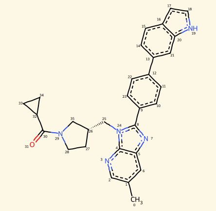 Cc1cnc2c(c1)nc(-c1ccc(-c3ccc4cc[nH]c4c3)cc1)n2C[C@@H]1CCN(C(=O)C2CC2)C1